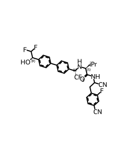 CC(C)[C@H](N[C@@H](c1ccc(-c2ccc([C@@H](O)C(F)F)cc2)cc1)C(F)(F)F)C(=O)NC(C#N)Cc1ccc(C#N)cc1F